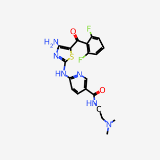 CN(C)CCNC(=O)c1ccc(Nc2nc(N)c(C(=O)c3c(F)cccc3F)s2)nc1